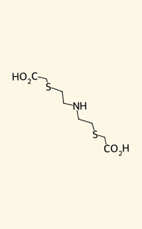 O=C(O)CSCCNCCSCC(=O)O